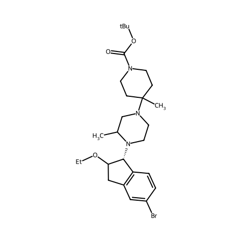 CCOC1Cc2cc(Br)ccc2[C@H]1N1CCN(C2(C)CCN(C(=O)OC(C)(C)C)CC2)CC1C